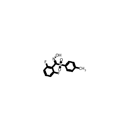 Cc1ccc(S(=O)(=O)C(=NO)c2c(F)cccc2F)cc1